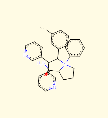 N#Cc1cccc(C(C(c2cccnc2)c2cccnc2)[N+]2(c3ccccc3)CCC[C@H]2C(N)=O)c1